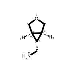 NC[C@@H]1[C@H]2COC[C@@H]12